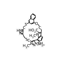 Cc1ccc2c3c(C(=O)O)n(C)c2c1-c1c(C)nn(C)c1CSCc1cc([nH]n1)CSc1cc(c2ccccc2c1)OCCC3